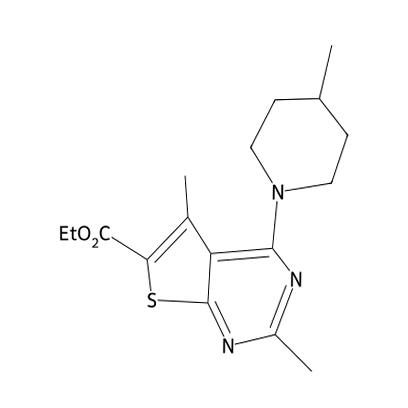 CCOC(=O)c1sc2nc(C)nc(N3CCC(C)CC3)c2c1C